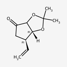 C=C[C@H]1CC(=O)C2OC(C)(C)O[C@@H]21